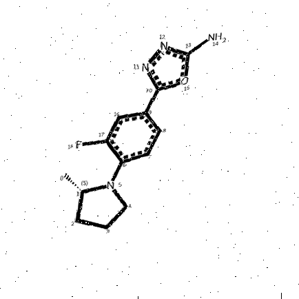 C[C@H]1CCCN1c1ccc(-c2nnc(N)o2)cc1F